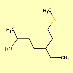 CCC(CCSC)CCC(C)O